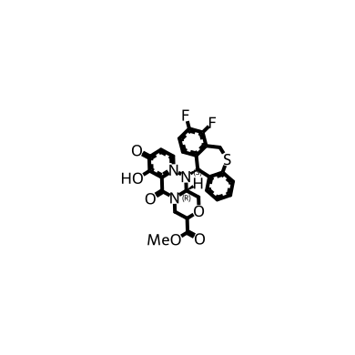 COC(=O)C1CN2C(=O)c3c(O)c(=O)ccn3N([C@@H]3c4ccccc4SCc4c3ccc(F)c4F)[C@@H]2CO1